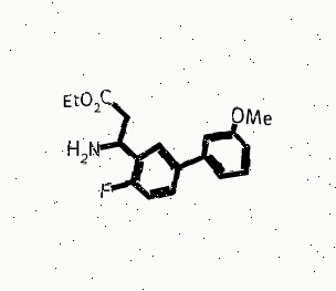 CCOC(=O)CC(N)c1cc(-c2cccc(OC)c2)ccc1F